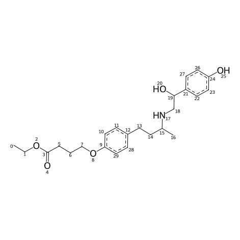 CCOC(=O)CCCOc1ccc(CCC(C)NCC(O)c2ccc(O)cc2)cc1